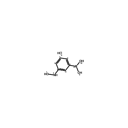 Cl.ONc1cccc(B(O)O)c1